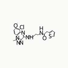 COc1ccc2c(nc(NCCCCNC(=O)Cc3cccs3)c3nnc(C)n32)c1Cl